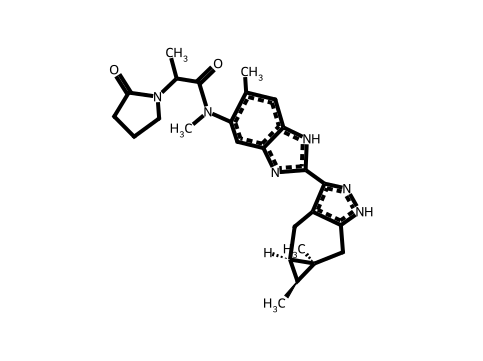 Cc1cc2[nH]c(-c3n[nH]c4c3C[C@@H]3[C@H](C)[C@]3(C)C4)nc2cc1N(C)C(=O)C(C)N1CCCC1=O